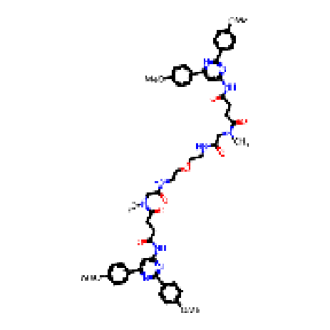 COc1ccc(-c2cc(NC(=O)CCC(=O)N(C)CC(=O)NCCOCCNC(=O)CN(C)C(=O)CCC(=O)Nc3cc(-c4ccc(OC)cc4)nc(-c4ccc(OC)cc4)n3)nc(-c3ccc(OC)cc3)n2)cc1